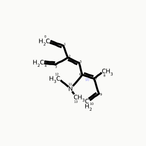 C=CC(C=C)=C/C(=C(\C)C=C)N(C)C